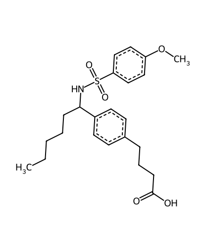 CCCCCC(NS(=O)(=O)c1ccc(OC)cc1)c1ccc(CCCC(=O)O)cc1